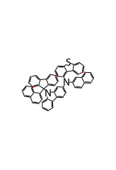 c1ccc2c(c1)-c1ccccc1C2(c1cccc2ccccc12)n1c2ccccc2c2ccc(N(c3ccc4ccccc4c3)c3cccc4sc5ccccc5c34)cc21